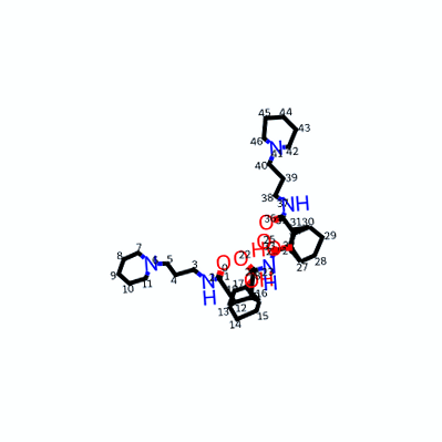 O=C(NCCCN1CCCCC1)C1C2CCC(C(O)C2)C1C(=O)NC(=O)C1C2CCC(CC2O)C1C(=O)NCCCN1CCCCC1